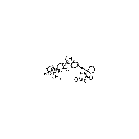 COC(=O)NC1(C#Cc2ccc([C@H](C)N3CC[C@](CC(C)(C)O)(c4ccccc4)OC3=O)cc2)CCCCC1